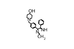 C=C/N=C(\C(=N)c1ccccc1)c1ccc(CN2CCC(O)CC2)cc1